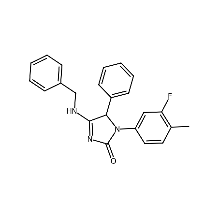 Cc1ccc(N2C(=O)N=C(NCc3ccccc3)C2c2ccccc2)cc1F